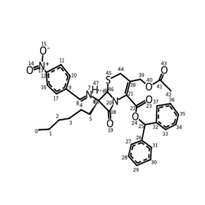 CCCCCC[C@]1(N=Cc2ccc([N+](=O)[O-])cc2)C(=O)N2C(C(=O)OC(c3ccccc3)c3ccccc3)=C(COC(C)=O)CS[C@@H]21